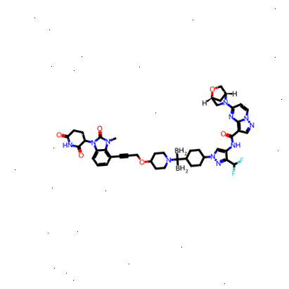 BC(B)(C1CCC(n2cc(NC(=O)c3cnn4ccc(N5C[C@H]6C[C@@H]5CO6)nc34)c(C(F)F)n2)CC1)N1CCC(OCC#Cc2cccc3c2n(C)c(=O)n3C2CCC(=O)NC2=O)CC1